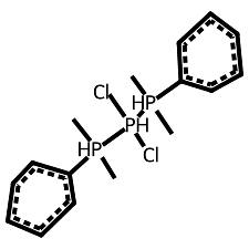 C[PH](C)(c1ccccc1)[PH](Cl)(Cl)[PH](C)(C)c1ccccc1